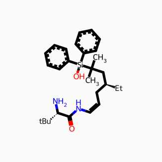 CC[C@@H](C/C=C\NC(=O)[C@@H](N)C(C)(C)C)CC(C)(C)[Si](O)(c1ccccc1)c1ccccc1